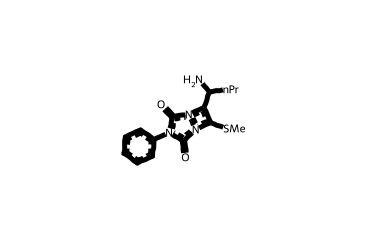 CCCC(N)c1c(SC)n2c(=O)n(-c3ccccc3)c(=O)n12